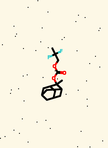 CC(F)(F)COC(=O)OC1(C)C2CC3CC(C2)CC1C3